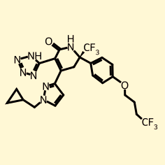 O=C1N[C@@](c2ccc(OCCCC(F)(F)F)cc2)(C(F)(F)F)CC(c2ccn(CC3CC3)n2)=C1c1nnn[nH]1